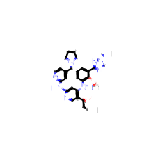 CCC(=O)c1cnc(Nc2cc(CN3CCCC3)ccn2)cc1Nc1cccc(-c2ncn(C)n2)c1OC